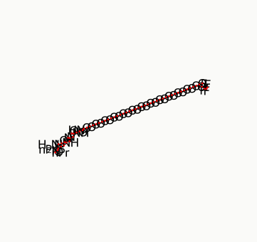 CCCN(CCC)C(=O)C1=Cc2ccc(C(=O)Nc3ccc(N4CCC(C(=O)NCCNC(=O)CCOCCOCCOCCOCCOCCOCCOCCOCCOCCOCCOCCOCCOCCOCCOCCOCCOCCOCCOCCOCCOCCOCCOCCOCCOCCC(=O)Oc5c(F)c(F)cc(F)c5F)CC4)nc3)cc2N=C(N)C1